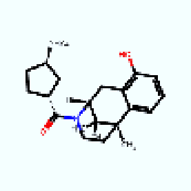 CC(=O)N[C@@H]1CC[C@@H](C(=O)N2CC[C@@]3(C)c4cccc(O)c4C[C@@H]2C3(C)C)C1